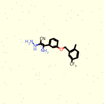 Cc1ccc(C(F)(F)F)cc1COc1cccc(/C(N)=C(\C#N)NN)c1